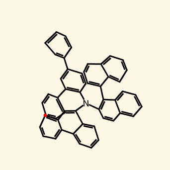 c1ccc(-c2ccc(N(c3ccc4ccccc4c3-c3cccc4ccccc34)c3cc4ccccc4c4ccccc34)c(-c3ccccc3)c2)cc1